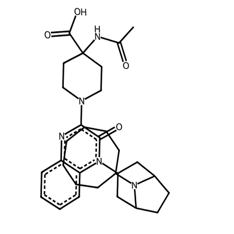 CC(=O)NC1(C(=O)O)CCN(c2nc3ccccc3n(C3CC4CCC(C3)N4C3CCCCCCC3)c2=O)CC1